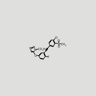 CS(=O)(=O)c1cc(C#Cc2cc(Oc3cnnn3C(=O)O)ccc2F)ccc1Cl